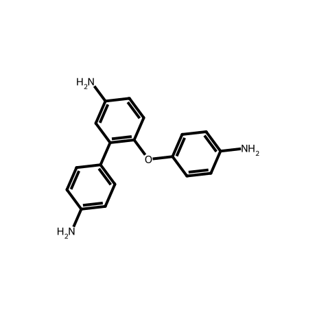 Nc1ccc(Oc2ccc(N)cc2-c2ccc(N)cc2)cc1